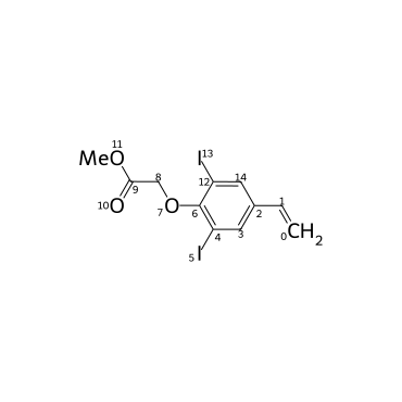 C=Cc1cc(I)c(OCC(=O)OC)c(I)c1